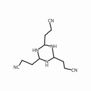 N#CCCC1NC(CCC#N)NC(CCC#N)N1